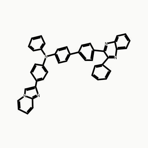 c1ccc(-c2nc3ccccc3nc2-c2ccc(-c3ccc(N(c4ccccc4)c4ccc(-c5cn6ccccc6n5)cc4)cc3)cc2)cc1